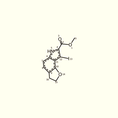 COC(=O)c1[nH]c2ccc3c(c2c1I)OCC3